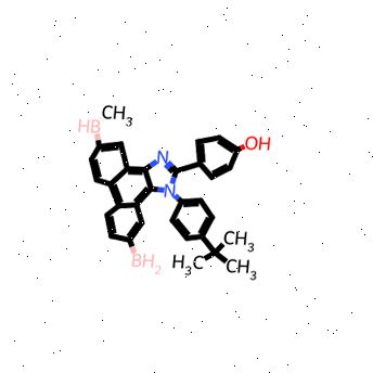 Bc1ccc2c3ccc(BC)cc3c3nc(-c4ccc(O)cc4)n(-c4ccc(C(C)(C)C)cc4)c3c2c1